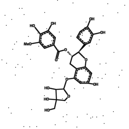 COc1cc(C(=O)O[C@H]2Cc3c(OC4OCC(O)(CO)C4O)cc(O)cc3O[C@@H]2c2ccc(O)c(O)c2)cc(O)c1O